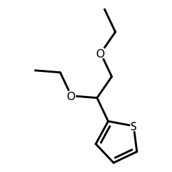 CCOCC(OCC)c1cccs1